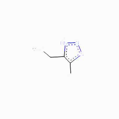 [2H]c1nn[nH]c1COC